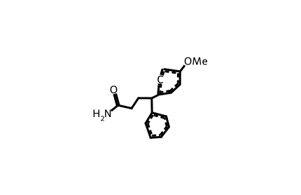 COc1ccc(C(CCC(N)=O)c2ccccc2)cc1